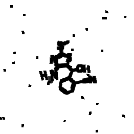 CSc1nc(N)c(C(O)c2ccccc2C#N)s1